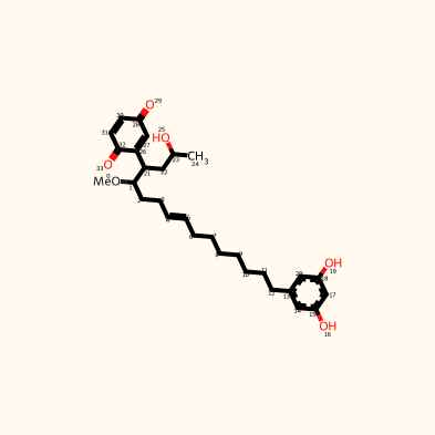 COC(CCC=CCCCCCCCc1cc(O)cc(O)c1)C(CC(C)O)C1=CC(=O)C=CC1=O